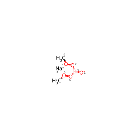 COOB([O-])OOC.[Na+]